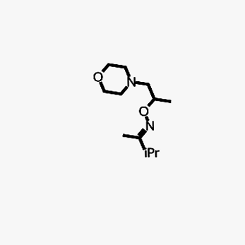 C/C(=N\OC(C)CN1CCOCC1)C(C)C